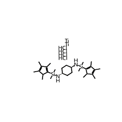 CC1=C(C)C(C)C([Si](C)(C)N[C@H]2CC[C@H](N[Si](C)(C)C3=C(C)C(C)=C(C)C3C)CC2)=C1C.Cl.Cl.Cl.Cl.[Ti].[Ti]